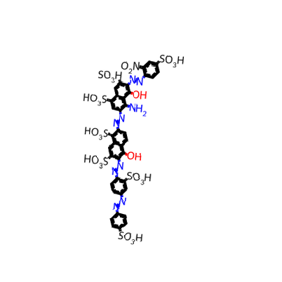 Nc1c(N=Nc2ccc3c(O)c(N=Nc4ccc(N=Nc5ccc(S(=O)(=O)O)cc5)cc4S(=O)(=O)O)c(S(=O)(=O)O)cc3c2S(=O)(=O)O)cc(S(=O)(=O)O)c2cc(S(=O)(=O)O)c(N=Nc3ccc(S(=O)(=O)O)cc3[N+](=O)[O-])c(O)c12